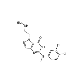 CN(c1ccc(Cl)c(Cl)c1)c1nc2cnn(CCNC(C)(C)C)c2c(=O)[nH]1